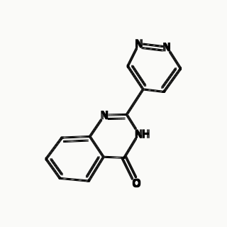 O=c1[nH]c(-c2ccnnc2)nc2ccccc12